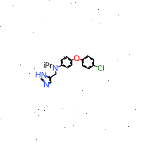 CC(C)N(Cc1cnc[nH]1)c1ccc(Oc2ccc(Cl)cc2)cc1